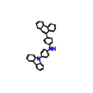 c1ccc2c(c1)cc(-c1ccc(Nc3ccc(-n4c5ccccc5c5ccccc54)cc3)cc1)c1ccccc12